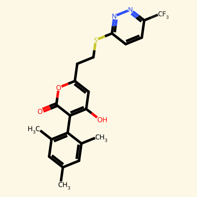 Cc1cc(C)c(-c2c(O)cc(CCSc3ccc(C(F)(F)F)nn3)oc2=O)c(C)c1